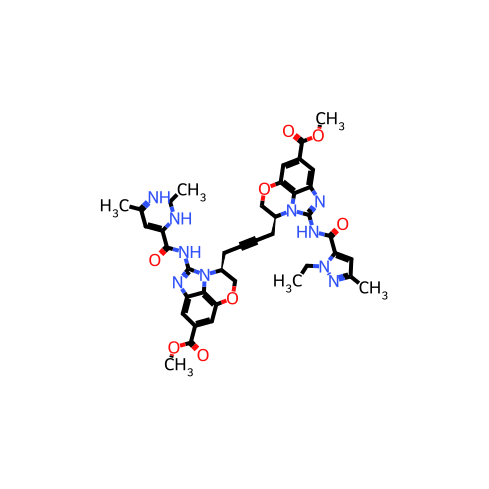 CCN/C(=C\C(C)=N)C(=O)Nc1nc2cc(C(=O)OC)cc3c2n1[C@@H](CC#CC[C@H]1COc2cc(C(=O)OC)cc4nc(NC(=O)c5cc(C)nn5CC)n1c24)CO3